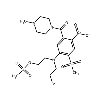 CN1CCN(C(=O)c2cc(N(CCBr)CCOS(C)(=O)=O)c(S(C)(=O)=O)cc2[N+](=O)[O-])CC1